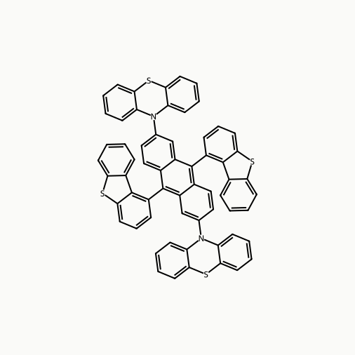 c1ccc2c(c1)Sc1ccccc1N2c1ccc2c(-c3cccc4sc5ccccc5c34)c3cc(N4c5ccccc5Sc5ccccc54)ccc3c(-c3cccc4sc5ccccc5c34)c2c1